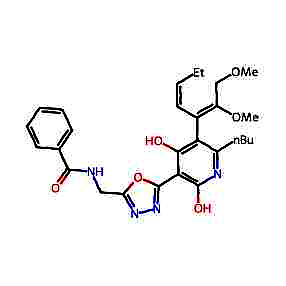 CC/C=C\C(=C(/COC)OC)c1c(CCCC)nc(O)c(-c2nnc(CNC(=O)c3ccccc3)o2)c1O